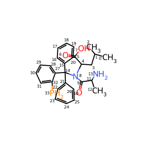 CC(C)CC(C(=O)O)N(C(=O)C(C)N)C(c1ccccc1)(c1ccccc1)c1ccccc1P